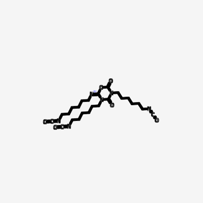 O=C=NCCCCCC/N=c1/oc(=O)n(CCCCCCN=C=O)c(=O)n1CCCCCCN=C=O